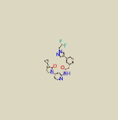 O=C(Cc1cccc(-c2cnn(CC(F)F)c2)c1)Nc1cc(N2CC[C@@H](C3CC3)C2=O)ccn1